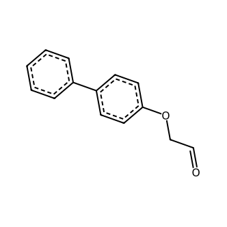 O=CCOc1ccc(-c2ccccc2)cc1